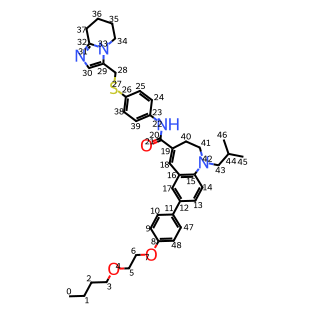 CCCCOCCOc1ccc(-c2ccc3c(c2)C=C(C(=O)Nc2ccc(SCc4cnc5n4CCCC5)cc2)CCN3CC(C)C)cc1